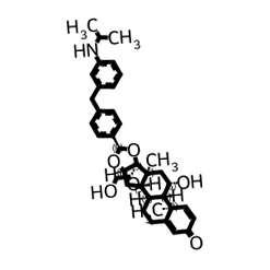 CC(C)Nc1cccc(Cc2ccc([C@@H]3O[C@@H]4C[C@H]5[C@@H]6CCC7=CC(=O)C=C[C@]7(C)[C@H]6[C@@H](O)C[C@]5(C)[C@]4(C(=O)CO)O3)cc2)c1